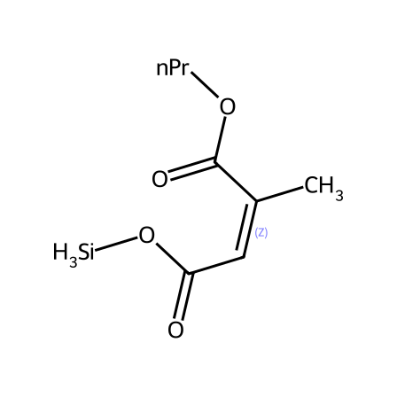 CCCOC(=O)/C(C)=C\C(=O)O[SiH3]